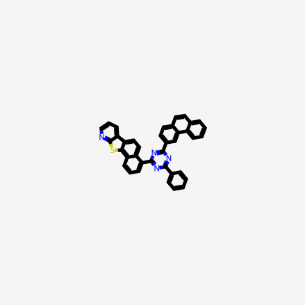 c1ccc(-c2nc(-c3ccc4ccc5ccccc5c4c3)nc(-c3cccc4c3ccc3c5cccnc5sc43)n2)cc1